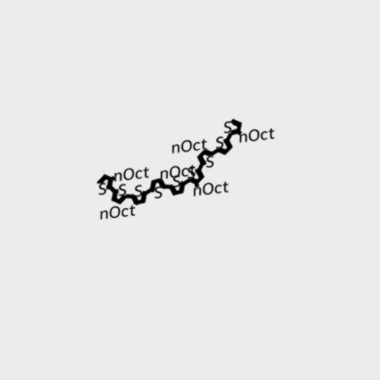 CCCCCCCCc1ccsc1-c1ccc(-c2sc(-c3cc(CCCCCCCC)c(-c4ccc(-c5sc(-c6cc(CCCCCCCC)c(-c7ccc(-c8sccc8CCCCCCCC)s7)s6)cc5CCCCCCCC)s4)s3)cc2CCCCCCCC)s1